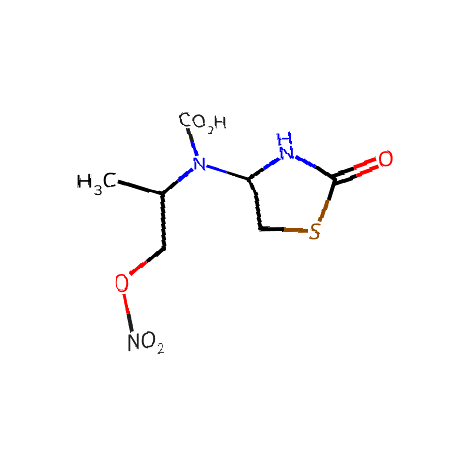 CC(CO[N+](=O)[O-])N(C(=O)O)C1CSC(=O)N1